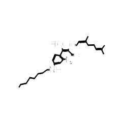 CCCCCCCCNc1ccc2c(O)c(OCC=C(C)CCC=C(C)C)c(=O)n(C)c2c1